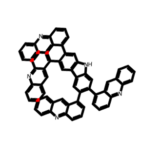 c1ccc2nc3cccc(-c4cc5[nH]c6cc(-c7cccc8nc9ccccc9cc78)c(-c7cccc8nc9ccccc9cc78)cc6c5cc4-c4cccc5nc6ccccc6cc45)c3cc2c1